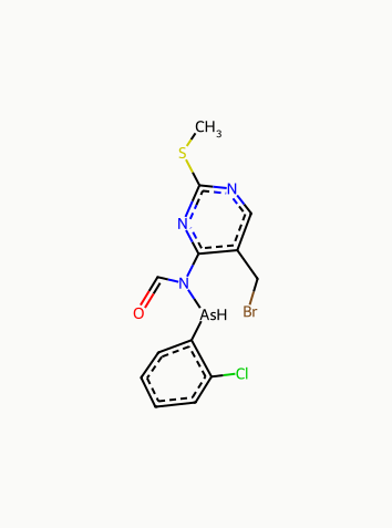 CSc1ncc(CBr)c(N(C=O)[AsH]c2ccccc2Cl)n1